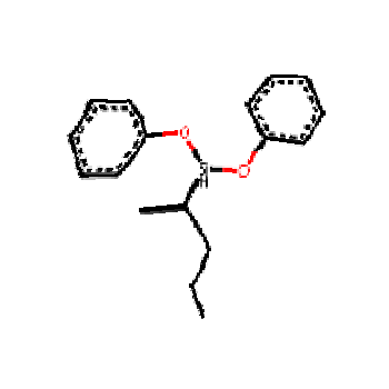 CCCC(C)[SiH](Oc1ccccc1)Oc1ccccc1